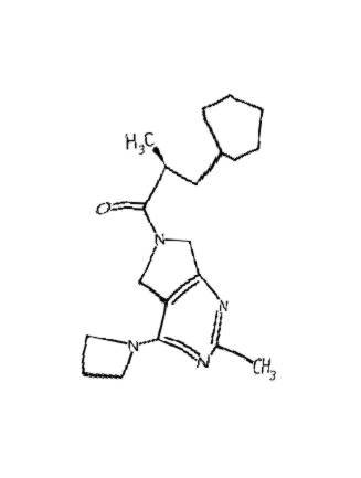 Cc1nc2c(c(N3CCC3)n1)CN(C(=O)[C@@H](C)CC1CCCC1)C2